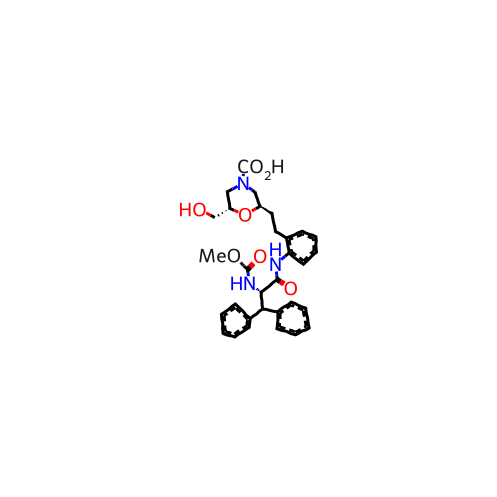 COC(=O)N[C@H](C(=O)Nc1ccccc1CC[C@@H]1CN(C(=O)O)C[C@@H](CO)O1)C(c1ccccc1)c1ccccc1